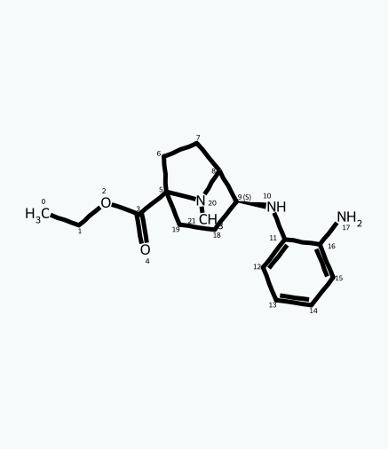 CCOC(=O)C12CCC([C@@H](Nc3ccccc3N)CC1)N2C